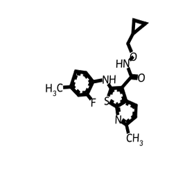 Cc1ccc(Nc2sc3nc(C)ccc3c2C(=O)NOCC2CC2)c(F)c1